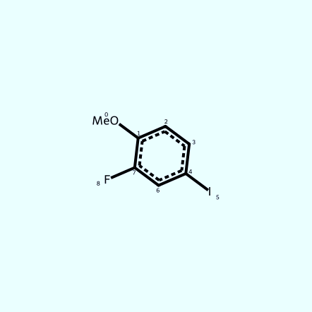 COc1ccc(I)cc1F